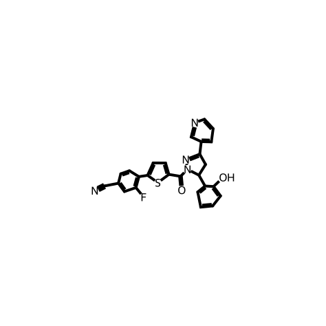 N#Cc1ccc(-c2ccc(C(=O)N3N=C(c4cccnc4)CC3c3ccccc3O)s2)c(F)c1